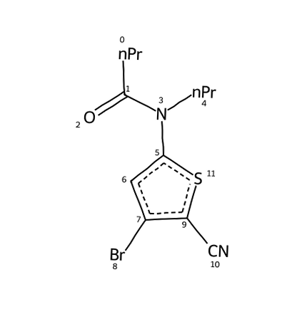 CCCC(=O)N(CCC)c1cc(Br)c(C#N)s1